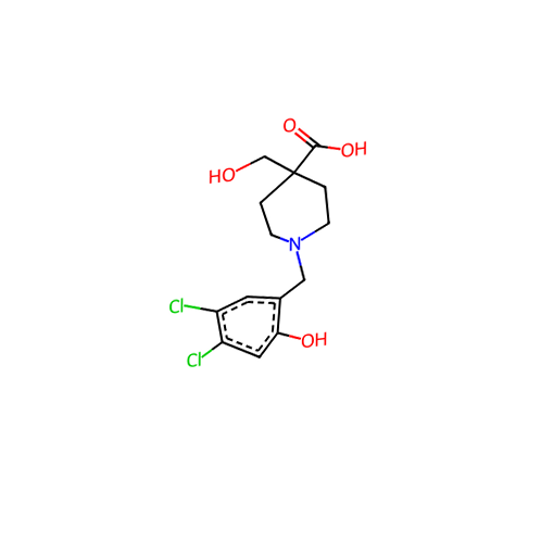 O=C(O)C1(CO)CCN(Cc2cc(Cl)c(Cl)cc2O)CC1